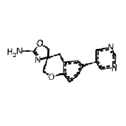 NC1=NC2(CO1)COc1ccc(-c3cncnc3)cc1C2